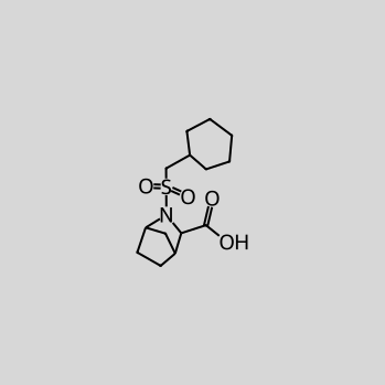 O=C(O)C1C2CCC(C2)N1S(=O)(=O)CC1CCCCC1